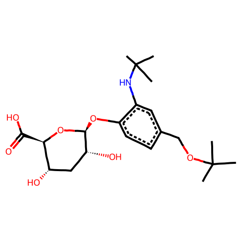 CC(C)(C)Nc1cc(COC(C)(C)C)ccc1O[C@@H]1O[C@H](C(=O)O)[C@@H](O)C[C@H]1O